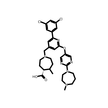 CC1CCN(Cc2cc(Oc3cnc(N4CCCN(C)CC4)nc3)nc(-c3cc(Cl)cc(Cl)c3)c2)CC[C@H]1C(=O)O